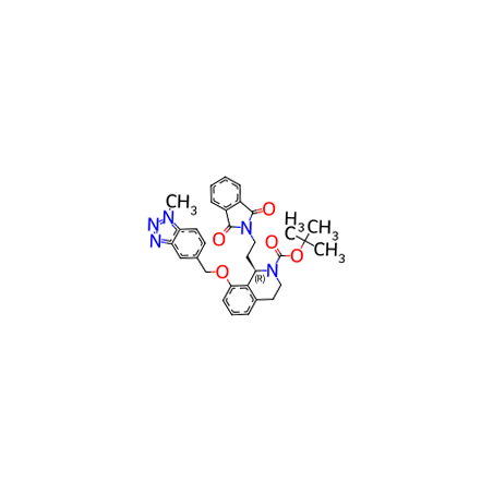 Cn1nnc2cc(COc3cccc4c3[C@@H](CCN3C(=O)c5ccccc5C3=O)N(C(=O)OC(C)(C)C)CC4)ccc21